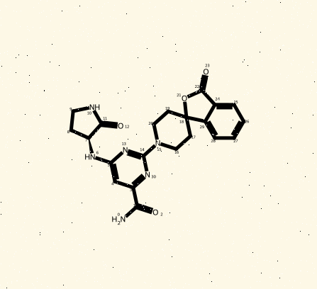 NC(=O)c1cc(N[C@H]2CCNC2=O)nc(N2CCC3(CC2)OC(=O)c2ccccc23)n1